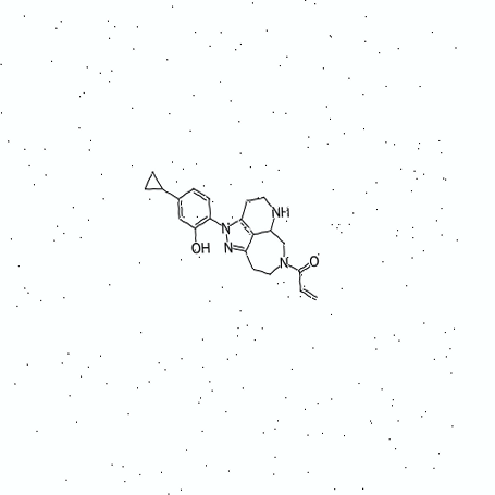 C=CC(=O)N1CCc2nn(-c3ccc(C4CC4)cc3O)c3c2C(C1)NCC3